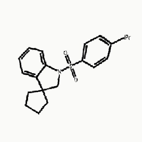 CC(C)c1ccc(S(=O)(=O)N2CC3(CCCC3)c3ccccc32)cc1